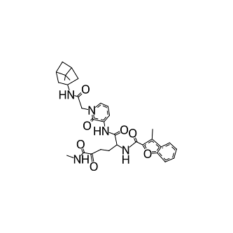 CNC(=O)C(=O)CCC(NC(=O)c1oc2ccccc2c1C)C(=O)Nc1cccn(CC(=O)NC2CC3CC(C2)C3(C)C)c1=O